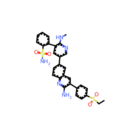 CCS(=O)(=O)c1ccc(-c2cc3cc(-c4cnc(NC)c(-c5ccccc5S(N)(=O)=O)c4)ccc3nc2N)cc1